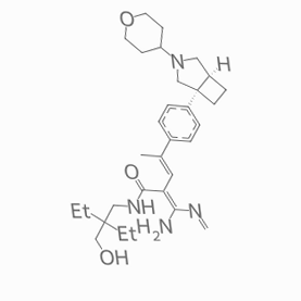 C=N/C(N)=C(\C=C(/C)c1ccc([C@@]23CC[C@@H]2CN(C2CCOCC2)C3)cc1)C(=O)NCC(CC)(CC)CO